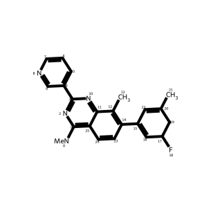 CNc1nc(-c2cccnc2)nc2c(C)c(C3=CC(F)CC(C)=C3)ccc12